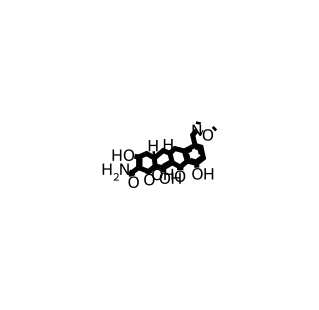 CON(C)Cc1ccc(O)c2c1C[C@H]1C[C@H]3CC(O)=C(C(N)=O)C(=O)[C@@]3(O)C(O)=C1C2=O